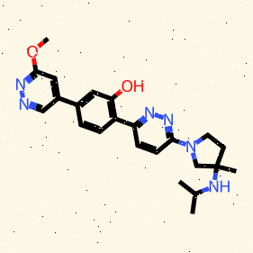 COc1cc(-c2ccc(-c3ccc(N4CCC(C)(NC(C)C)C4)nn3)c(O)c2)cnn1